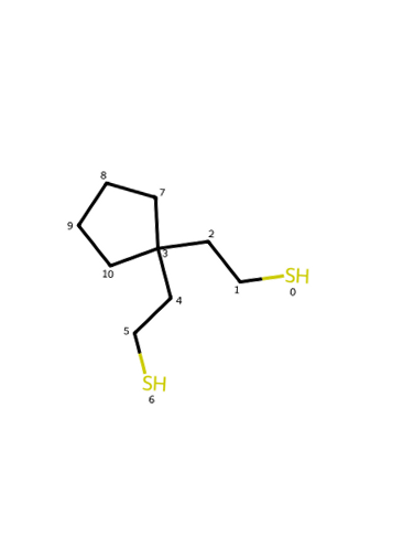 SCCC1(CCS)CCCC1